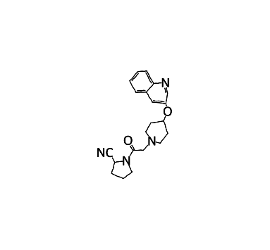 N#CC1CCCN1C(=O)CN1CCC(Oc2cnc3ccccc3c2)CC1